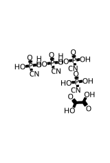 N#CP(=O)(O)O.N#CP(=O)(O)O.N#CP(=O)(O)O.N#CP(=O)(O)O.O=C(O)C(=O)O